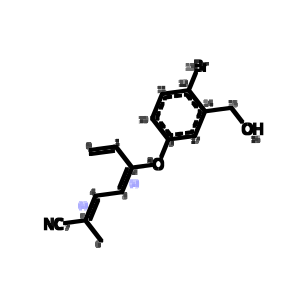 C=C/C(=C\C=C(/C)C#N)Oc1ccc(Br)c(CO)c1